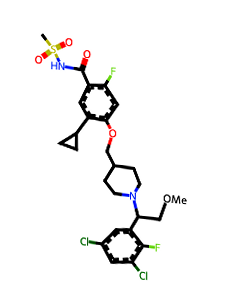 COCC(c1cc(Cl)cc(Cl)c1F)N1CCC(COc2cc(F)c(C(=O)NS(C)(=O)=O)cc2C2CC2)CC1